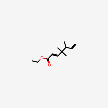 C=CC(C)C(C)(C)/C=C/C(=O)OCC